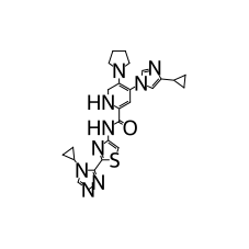 O=C(Nc1csc(-c2nncn2C2CC2)n1)C1=CC(n2cnc(C3CC3)c2)=C(N2CCCC2)CN1